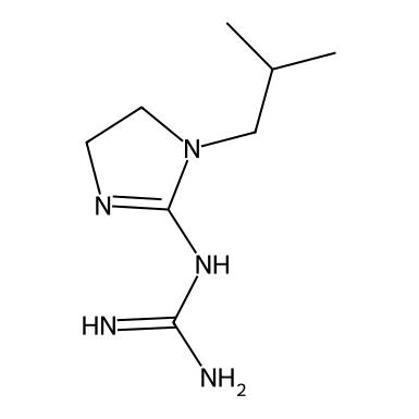 CC(C)CN1CCN=C1NC(=N)N